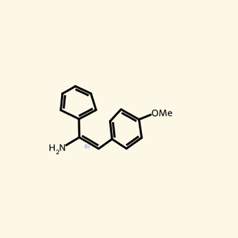 COc1ccc(/C=C(/N)c2ccccc2)cc1